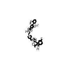 CC(=O)c1[nH]c2ccc(F)cc2c1-c1cn(CC2CCN(CCNS(=O)(=O)c3cc(O)c(-c4ccccc4F)c(F)c3)CC2)nn1